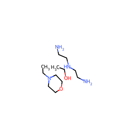 CCN1CCOCC1.CCO.NCCNCCN